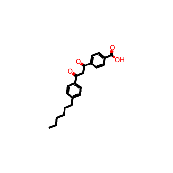 CCCCCCc1ccc(C(=O)CC(=O)c2ccc(C(=O)O)cc2)cc1